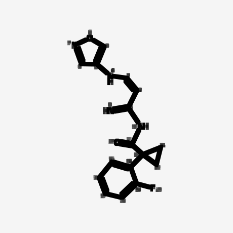 N=C(/C=C\Nc1cnoc1)NC(=O)C1(c2ccccc2F)CC1